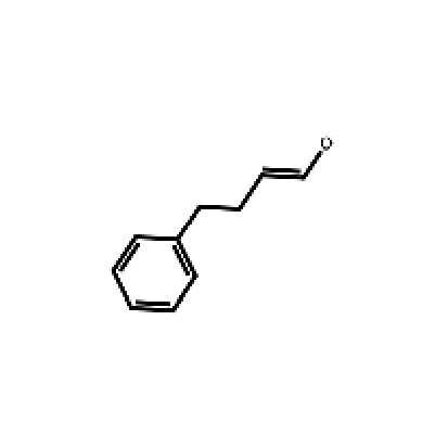 [O]C=CCCc1ccccc1